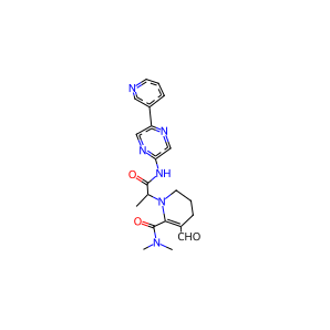 CC(C(=O)Nc1cnc(-c2cccnc2)cn1)N1CCCC(C=O)=C1C(=O)N(C)C